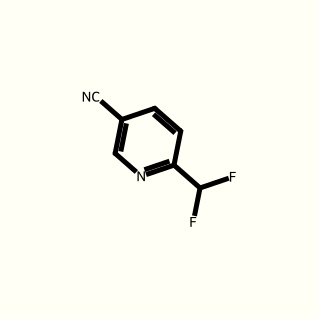 N#Cc1ccc(C(F)F)nc1